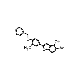 CC(=O)c1ccc2oc(-c3ccc(OCc4ccccc4)c(C)c3)cc2c1O